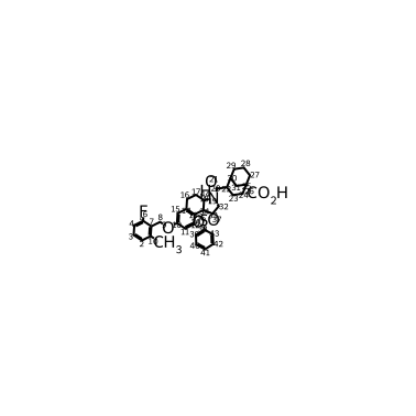 Cc1cccc(F)c1COc1ccc2c(c1)CC[C@H]1N(C(=O)C3CCC4(C(=O)O)CCCC3C4)CC[C@@]21S(=O)(=O)c1ccccc1